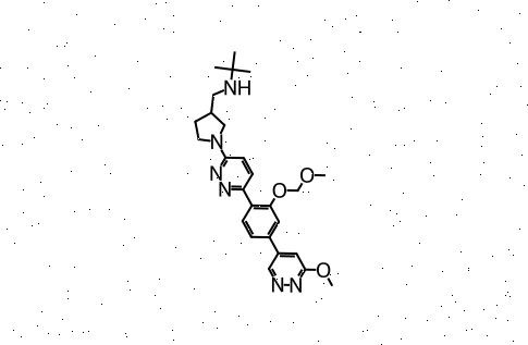 COCOc1cc(-c2cnnc(OC)c2)ccc1-c1ccc(N2CCC(CNC(C)(C)C)C2)nn1